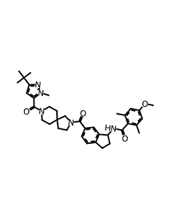 COc1cc(C)c(C(=O)NC2CCc3ccc(C(=O)N4CCC5(CCN(C(=O)c6cc(C(C)(C)C)nn6C)CC5)C4)cc32)c(C)c1